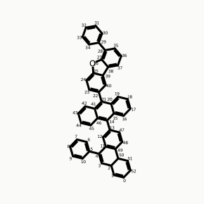 C1=CC2C=C(c3ccccc3)c3cc(-c4c5ccccc5c(-c5ccc6oc7c(-c8ccccc8)cccc7c6c5)c5ccccc45)ccc3C2C=C1